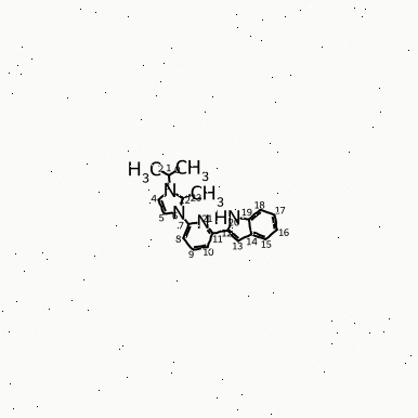 CC(C)N1C=CN(c2cccc(-c3cc4ccccc4[nH]3)n2)[C@@H]1C